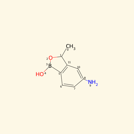 CC1OB(O)c2ccc(N)cc21